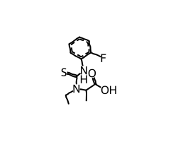 CCN(C(=S)Nc1ccccc1F)C(C)C(=O)O